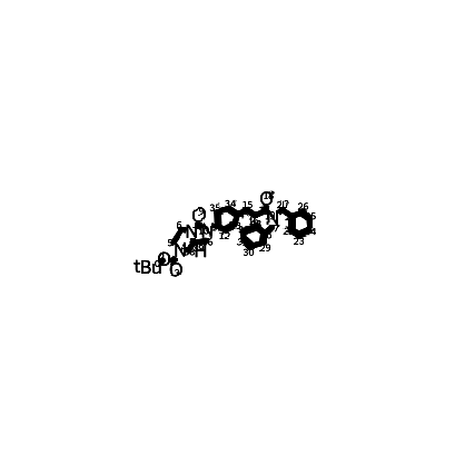 CC(C)(C)OC(=O)N1CCN2C(=O)N(c3ccc(CCC(=O)N(Cc4ccccc4)Cc4ccccc4)cc3)C[C@@H]2C1